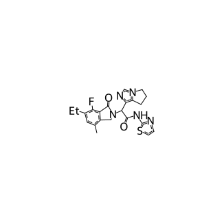 CCc1cc(C)c2c(c1F)C(=O)N(C(C(=O)Nc1nccs1)c1ncn3c1CCC3)C2